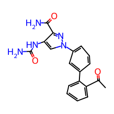 CC(=O)c1ccccc1-c1cccc(-n2cc(NC(N)=O)c(C(N)=O)n2)c1